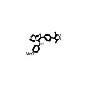 COc1ccc(Nc2c(-c3ccc(-c4c(C)noc4C)cc3)nc3cnccn23)cc1